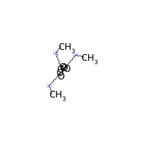 CCCCC/C=C\CCCCCCCCC(=O)OCC(COC(=O)CCCCCCCC/C=C\CCCCC)OC(=O)CCCCCCCC/C=C\CCCCC